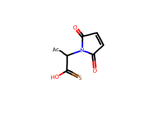 CC(=O)C(C(O)=S)N1C(=O)C=CC1=O